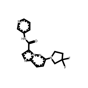 O=C(Nc1cccnc1)c1cnc2ccc(N3CCC(F)(F)C3)nn12